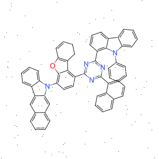 C1=Cc2oc3c(-n4c5ccccc5c5cc6ccccc6cc54)ccc(-c4nc(-c5cccc6ccccc56)nc(-c5cccc6c7ccccc7n(-c7ccccc7)c56)n4)c3c2CC1